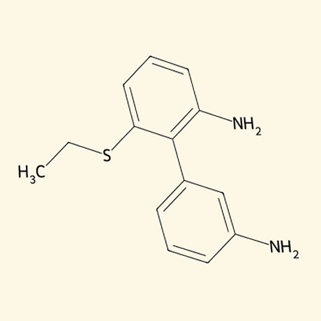 CCSc1cccc(N)c1-c1cccc(N)c1